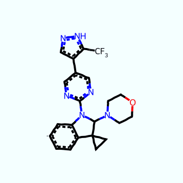 FC(F)(F)c1[nH]ncc1-c1cnc(N2c3c[c]ccc3C3(CC3)C2N2CCOCC2)nc1